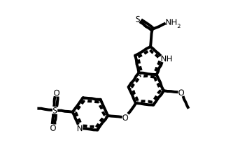 COc1cc(Oc2ccc(S(C)(=O)=O)nc2)cc2cc(C(N)=S)[nH]c12